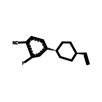 C=C[C@H]1CC[C@H](c2ccc(C#N)c(F)c2)CC1